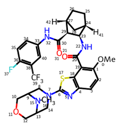 COc1ccc2nc(N3CC4COCC(C3)N4C)sc2c1C(=O)N[C@@H]1[C@H]2CC[C@H](C2)[C@@H]1C(=O)Nc1ccc(F)c(C(F)(F)F)c1